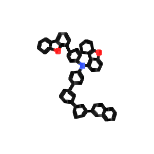 C1=Cc2oc3cccc(N(c4ccc(-c5cccc(-c6cccc(-c7ccc8ccccc8c7)c6)c5)cc4)c4ccc(-c5cccc6c5oc5ccccc56)cc4)c3c2CC1